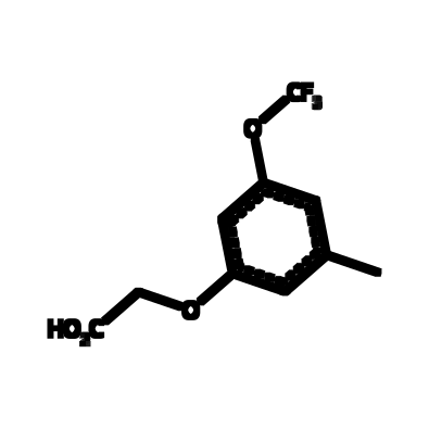 Cc1cc(OCC(=O)O)cc(OC(F)(F)F)c1